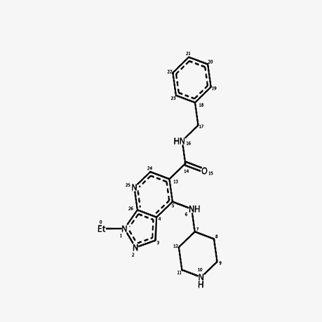 CCn1ncc2c(NC3CCNCC3)c(C(=O)NCc3ccccc3)cnc21